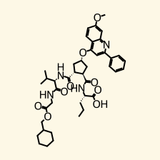 CCC[C@H](NC(=O)[C@@H]1C[C@@H](Oc2cc(-c3ccccc3)nc3cc(OC)ccc23)C[C@H]1C(=O)N[C@H](C(=O)NCC(=O)OCC1CCCCC1)C(C)C)C(=O)O